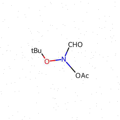 CC(=O)ON(C=O)OC(C)(C)C